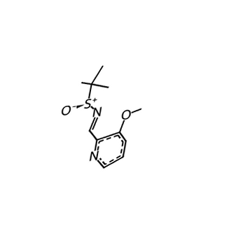 COc1cccnc1C=N[S@@+]([O-])C(C)(C)C